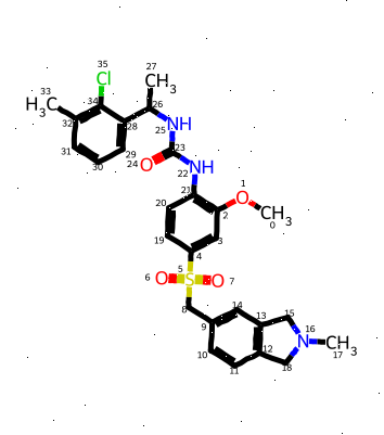 COc1cc(S(=O)(=O)Cc2ccc3c(c2)CN(C)C3)ccc1NC(=O)NC(C)c1cccc(C)c1Cl